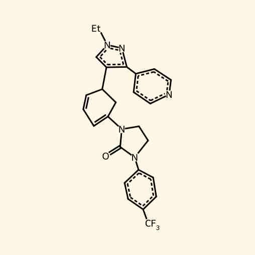 CCn1cc(C2C=CC=C(N3CCN(c4ccc(C(F)(F)F)cc4)C3=O)C2)c(-c2ccncc2)n1